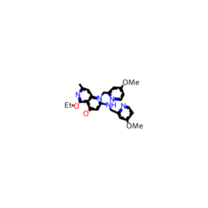 CCOc1nc(C)cc2c1c(=O)cc(NCc1cc(OC)ccn1)n2Cc1cc(OC)ccn1